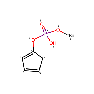 CC(C)(C)OP(=O)(O)OC1=CC=CC1